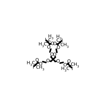 CC(C)(I)C(=O)OCCOCC(COCCOC(=O)C(C)(C)I)(COCCOC(=O)C(C)(C)I)COCCOC(=O)C(C)(C)I